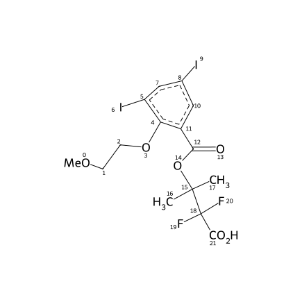 COCCOc1c(I)cc(I)cc1C(=O)OC(C)(C)C(F)(F)C(=O)O